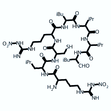 CCC(C)C(C=O)NC(=O)C(NC(=O)C(NC(=O)C(NC(=O)C(CCCNC(=N)N[N+](=O)[O-])NC(=O)C(CS)NC(=O)C(CC(C)C)NC(=O)C(N)CCCNC(=N)N[N+](=O)[O-])C(C)CC)C(C)C)C(C)C